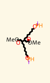 COC(=O)/C=C(CCCCCCCCOPI)/C(=C/C(=O)OC)CCCCCCCCOPI